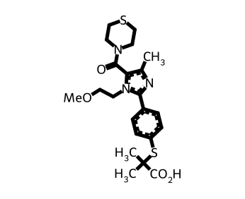 COCCn1c(-c2ccc(SC(C)(C)C(=O)O)cc2)nc(C)c1C(=O)N1CCSCC1